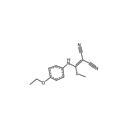 CCOc1ccc(NC(SC)=C(C#N)C#N)cc1